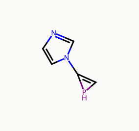 C1=C(n2ccnc2)P1